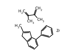 C=C(C)C(=C)C.CC1=Cc2c(cccc2-c2ccccc2)C1.[Zr]